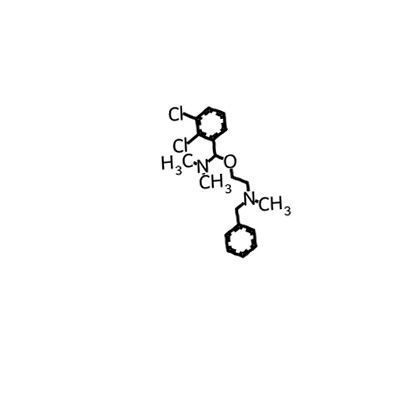 CN(CCOC(c1cccc(Cl)c1Cl)N(C)C)Cc1ccccc1